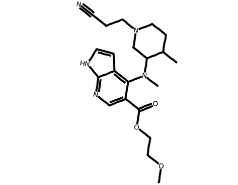 COCCOC(=O)c1cnc2[nH]ccc2c1N(C)C1CN(CCC#N)CCC1C